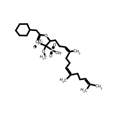 COC([PH2]=O)(C(CCC=C(C)CCC=C(C)CCC=C(C)C)OC(=O)CC1CCCCC1)S(=O)(=O)O